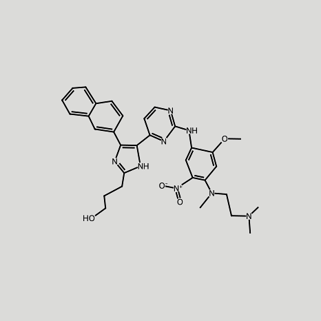 COc1cc(N(C)CCN(C)C)c([N+](=O)[O-])cc1Nc1nccc(-c2[nH]c(CCCO)nc2-c2ccc3ccccc3c2)n1